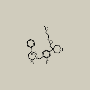 COCCCOCC1(c2ccc(CN3S[C@@H](c4ccccc4)CC[C@@H]3C)c(F)c2)CCOCC1